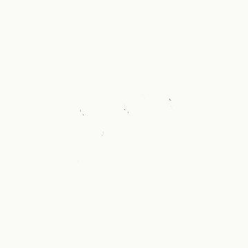 CNC(C(C)NC(=O)O)C1(F)CCCCC1